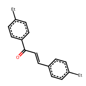 CCc1ccc(C=CC(=O)c2ccc(CC)cc2)cc1